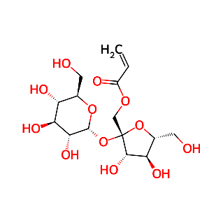 C=CC(=O)OC[C@@]1(O[C@H]2O[C@H](CO)[C@@H](O)[C@H](O)[C@H]2O)O[C@H](CO)[C@@H](O)[C@@H]1O